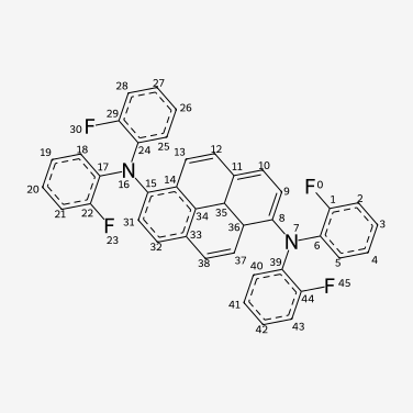 Fc1ccccc1N(C1=CC=C2C=Cc3c(N(c4ccccc4F)c4ccccc4F)ccc4c3C2C1C=C4)c1ccccc1F